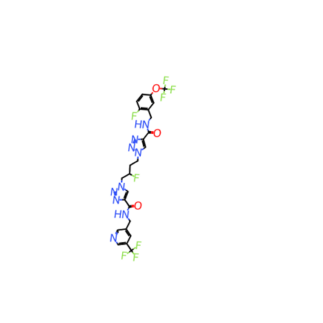 O=C(NCc1cc(OC(F)(F)F)ccc1F)c1cn(CCC(F)Cn2cc(C(=O)NCc3cncc(C(F)(F)F)c3)nn2)nn1